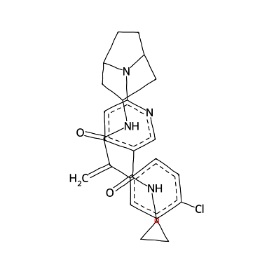 C=C(C(=O)NC1CC2CCC(C1)N2c1ccc(C(=O)NC2CC2)cn1)c1ccc(Cl)cc1